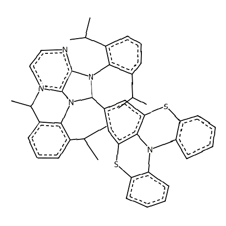 CC(C)c1cccc(C(C)C)c1N1c2ncc[n+]3c2N(c2c(C(C)C)cccc2C3C)C1c1cc2c3c(c1)Sc1ccccc1N3c1ccccc1S2